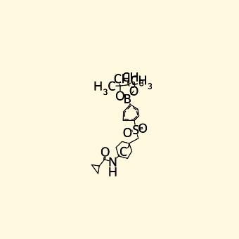 CC1(C)OB(c2ccc(S(=O)(=O)CC34CCC(NC(=O)C5CC5)(CC3)CC4)cc2)OC1(C)C